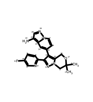 CC1(C)Cn2nc(-c3ccc(F)cn3)c(-c3ccn4ncc(N)c4c3)c2CO1